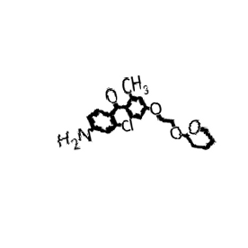 Cc1cc(OCCOC2CCCCO2)ccc1C(=O)c1ccc(N)cc1Cl